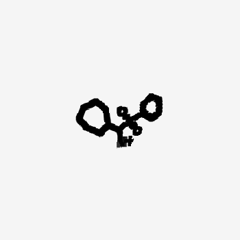 [NH]C(C1CCCCCC1)S(=O)(=O)c1ccccc1